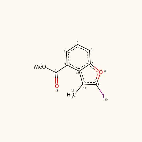 COC(=O)c1cccc2oc(I)c(C)c12